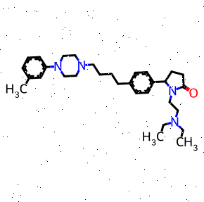 CCN(CC)CCN1C(=O)CCC1c1ccc(CCCCN2CCN(c3cccc(C)c3)CC2)cc1